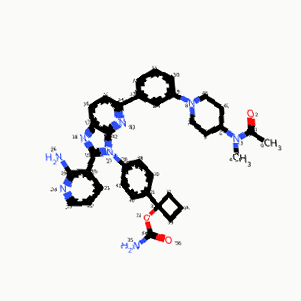 CC(=O)N(C)C1CCN(c2cccc(-c3ccc4nc(-c5cccnc5N)n(-c5ccc(C6(OC(N)=O)CCC6)cc5)c4n3)c2)CC1